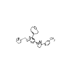 Cc1cccc(-c2ccn(-c3cc(C4=CCCOCC4)nc(OCC4CCCO4)n3)n2)c1